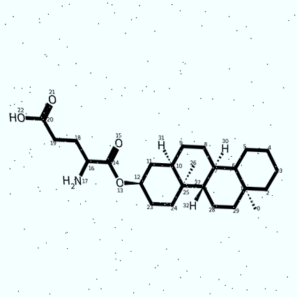 C[C@@]12CCCCC1[C@@H]1CC[C@@H]3C[C@H](OC(=O)C(N)CCC(=O)O)CC[C@]3(C)[C@H]1CC2